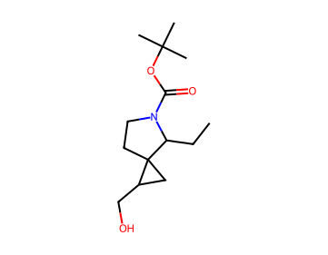 CCC1N(C(=O)OC(C)(C)C)CCC12CC2CO